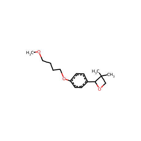 COCCCCOc1ccc(C2OCC2(C)C)cc1